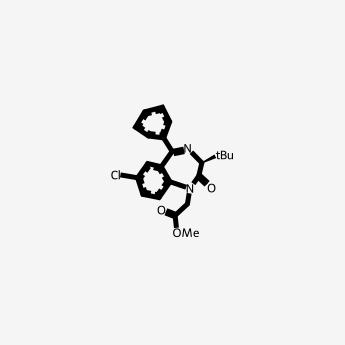 COC(=O)CN1C(=O)[C@H](C(C)(C)C)N=C(c2ccccc2)c2cc(Cl)ccc21